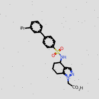 CC(C)c1cccc(-c2ccc(S(=O)(=O)NC3CCCc4c3cnn4CC(=O)O)cc2)c1